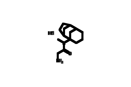 CN(C(=O)CN)C12CCCC(C1)C1CCC2C1.Cl